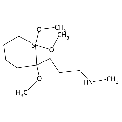 CNCCCC1(OC)CCCC[Si]1(OC)OC